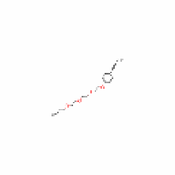 CC(C)C#Cc1ccc(OCCOCCOCCOCCC(C)C)cc1